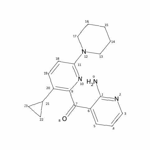 Nc1ncccc1C(=O)c1nc(N2CCCCC2)ccc1C1CC1